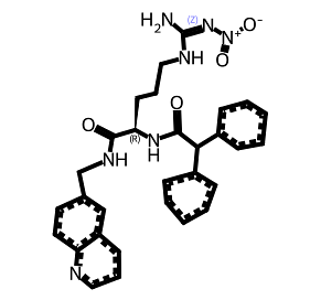 N/C(=N/[N+](=O)[O-])NCCC[C@@H](NC(=O)C(c1ccccc1)c1ccccc1)C(=O)NCc1ccc2ncccc2c1